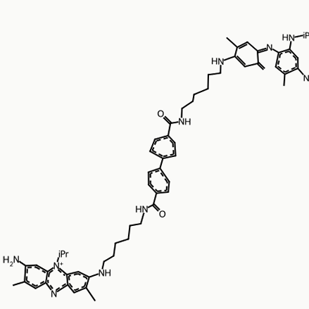 C=C1C=C(NCCCCCCNC(=O)c2ccc(-c3ccc(C(=O)NCCCCCCNc4cc5c(cc4C)nc4cc(C)c(N)cc4[n+]5C(C)C)cc3)cc2)C(C)=C/C1=N/c1cc(C)c(N)cc1NC(C)C